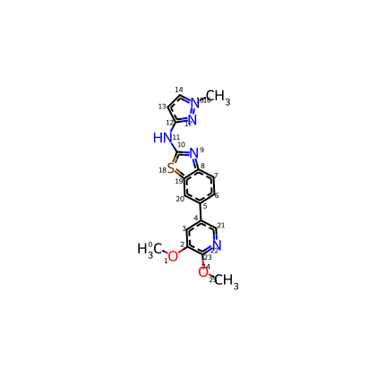 COc1cc(-c2ccc3nc(Nc4ccn(C)n4)sc3c2)cnc1OC